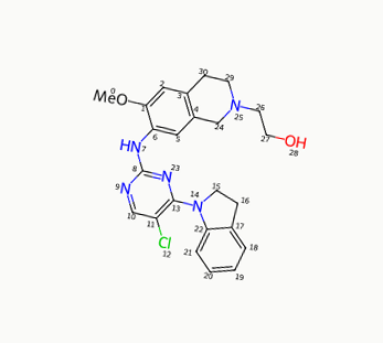 COc1cc2c(cc1Nc1ncc(Cl)c(N3CCc4ccccc43)n1)CN(CCO)CC2